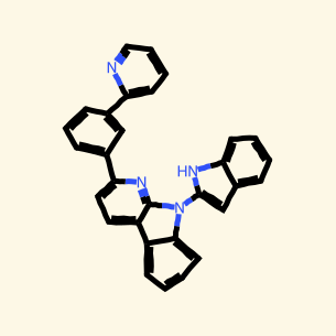 c1ccc(-c2cccc(-c3ccc4c5ccccc5n(-c5cc6ccccc6[nH]5)c4n3)c2)nc1